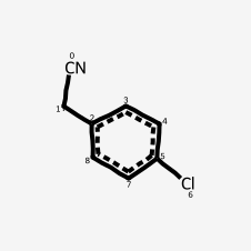 N#C[CH]c1ccc(Cl)cc1